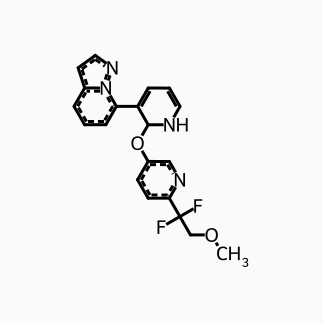 COCC(F)(F)c1ccc(OC2NC=CC=C2c2cccc3ccnn23)cn1